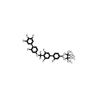 CC1(C)OB(c2ccc(-c3cc(F)c(C(F)(F)Oc4ccc(-c5cc(F)c(F)c(F)c5)c(F)c4)c(F)c3)c(F)c2)OC1(C)C